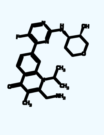 Cc1c(CN)n(C(C)C)c2cc(-c3nc(N[C@@H]4CCOC[C@H]4O)ncc3F)ccc2c1=O